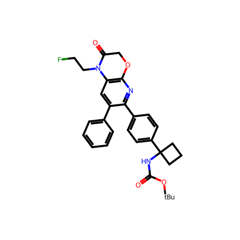 CC(C)(C)OC(=O)NC1(c2ccc(-c3nc4c(cc3-c3ccccc3)N(CCF)C(=O)CO4)cc2)CCC1